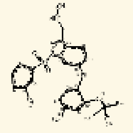 CNCc1cn(S(=O)(=O)c2cccc(Cl)c2)c2cc(Nc3ccc(C)cc3OC(F)(F)F)ccc12